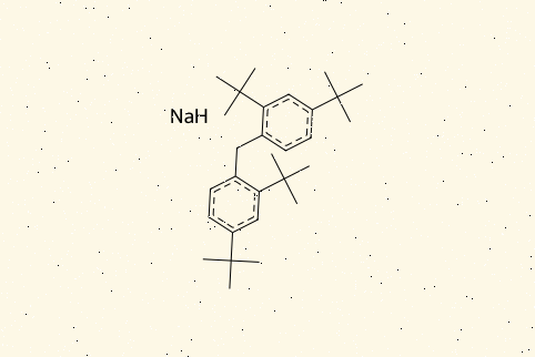 CC(C)(C)c1ccc(Cc2ccc(C(C)(C)C)cc2C(C)(C)C)c(C(C)(C)C)c1.[NaH]